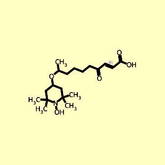 CC(CCCCC(=O)/C=C/C(=O)O)OC1CC(C)(C)N(O)C(C)(C)C1